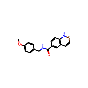 COc1ccc(CNC(=O)c2ccc3c(c2)C=CSN3)cc1